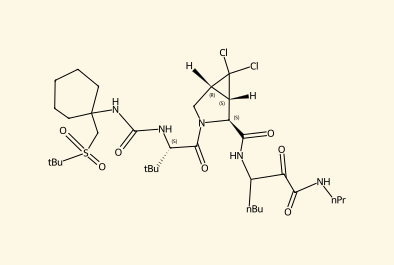 CCCCC(NC(=O)[C@@H]1[C@@H]2[C@H](CN1C(=O)[C@@H](NC(=O)NC1(CS(=O)(=O)C(C)(C)C)CCCCC1)C(C)(C)C)C2(Cl)Cl)C(=O)C(=O)NCCC